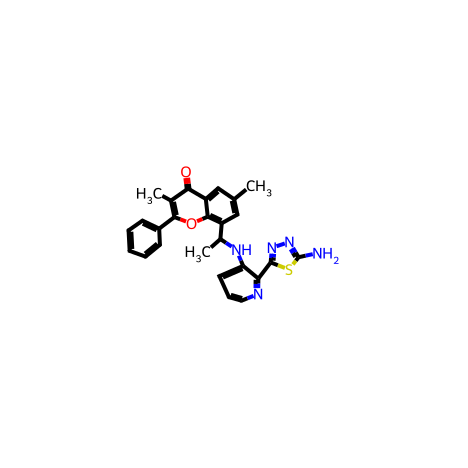 Cc1cc(C(C)Nc2cccnc2-c2nnc(N)s2)c2oc(-c3ccccc3)c(C)c(=O)c2c1